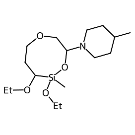 CCOC1CCOCC(N2CCC(C)CC2)O[Si]1(C)OCC